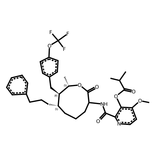 COc1ccnc(C(=O)NC2CCC[C@H](CCCc3ccccc3)[C@@H](Cc3ccc(OC(F)(F)F)cc3)[C@H](C)OC2=O)c1OC(=O)C(C)C